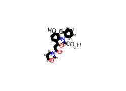 O=C(O)C(=O)N(c1ccccc1C=CC(=O)N1CCCOC1)c1ccccc1C(=O)O